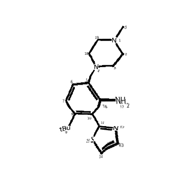 CN1CCN(c2ccc(C(C)(C)C)c(-c3nccs3)c2N)CC1